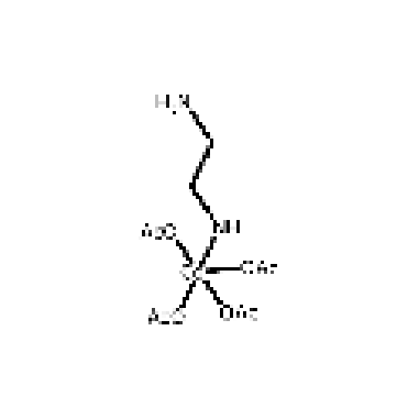 CC(=O)[O][Co]([NH]CCN)([O]C(C)=O)([O]C(C)=O)[O]C(C)=O